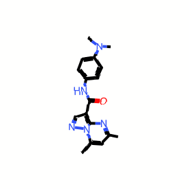 Cc1cc(C)n2ncc(C(=O)Nc3ccc(N(C)C)cc3)c2n1